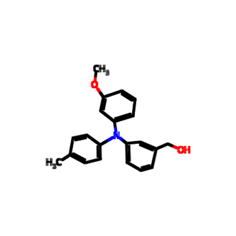 COc1cccc(N(c2ccc(C)cc2)c2cccc(CO)c2)c1